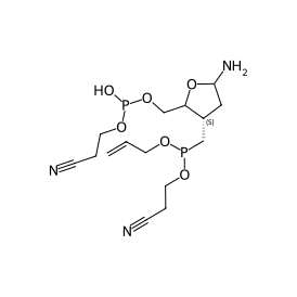 C=CCOP(C[C@H]1CC(N)OC1COP(O)OCCC#N)OCCC#N